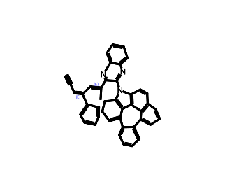 C#C/C=C(\C=C(/C)c1nc2ccccc2nc1-n1c2c3c4c5c(cccc5ccc41)-c1ccccc1C3=CCC2)c1ccccc1